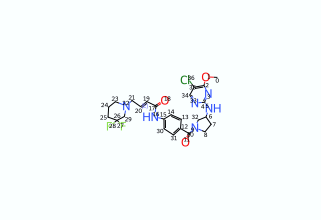 COc1nc(NC2CCN(C(=O)c3ccc(NC(=O)/C=C/CN4CCCC(F)(F)C4)cc3)C2)ncc1Cl